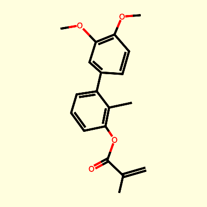 C=C(C)C(=O)Oc1cccc(-c2ccc(OC)c(OC)c2)c1C